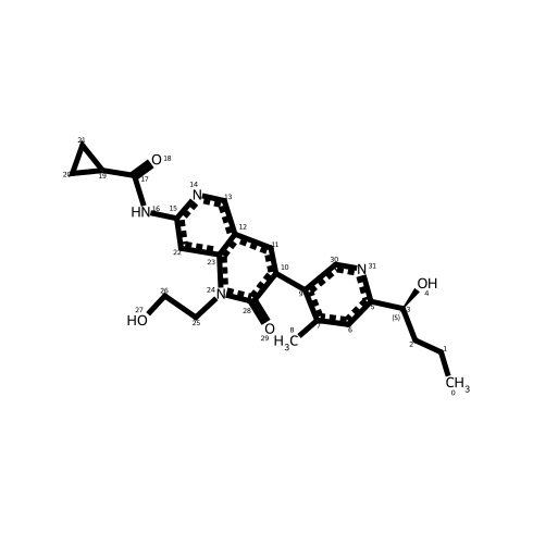 CCC[C@H](O)c1cc(C)c(-c2cc3cnc(NC(=O)C4CC4)cc3n(CCO)c2=O)cn1